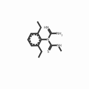 CCc1cccc(CC)c1N(C(=N)N)C(=S)NC